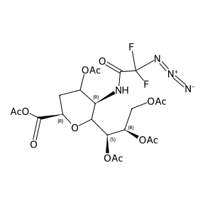 CC(=O)OC[C@@H](OC(C)=O)[C@@H](OC(C)=O)C1O[C@@H](C(=O)OC(C)=O)CC(OC(C)=O)[C@H]1NC(=O)C(F)(F)N=[N+]=[N-]